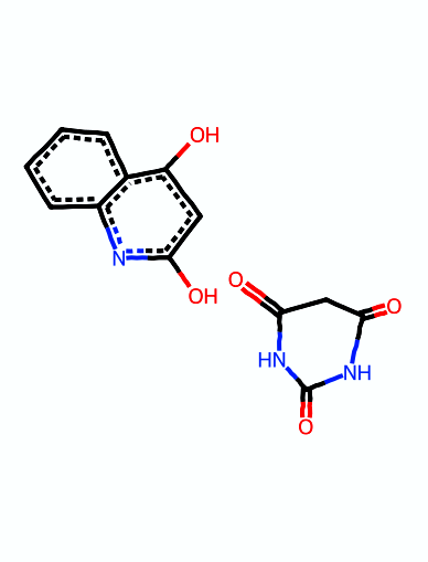 O=C1CC(=O)NC(=O)N1.Oc1cc(O)c2ccccc2n1